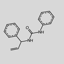 C=CC(NC(=O)Nc1ccccc1)c1ccccc1